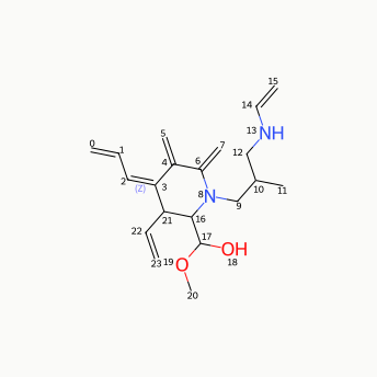 C=C/C=C1\C(=C)C(=C)N(CC(C)CNC=C)C(C(O)OC)C1C=C